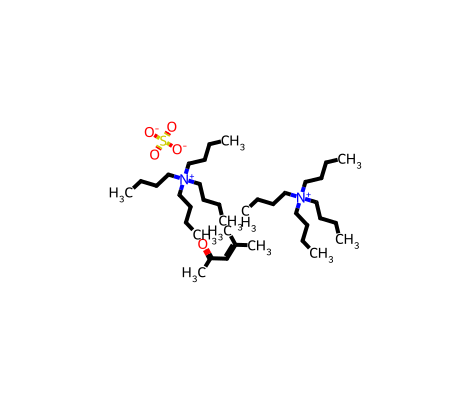 CC(=O)C=C(C)C.CCCC[N+](CCCC)(CCCC)CCCC.CCCC[N+](CCCC)(CCCC)CCCC.O=S(=O)([O-])[O-]